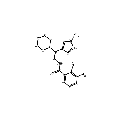 Cn1cc(C(CNC(=O)c2cccc(Cl)c2Cl)C2CCOCC2)cn1